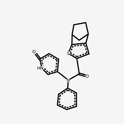 O=C(c1cc2c(s1)C1CCC2C1)N(c1ccccc1)c1ccc(=O)[nH]c1